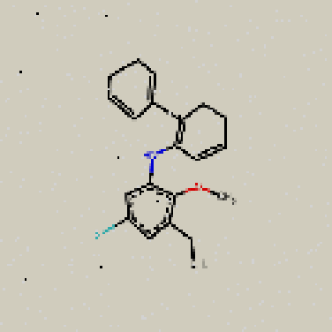 CCc1cc(F)cc(NC2=C(C3=CCCC=C3)CCC=C2)c1OC